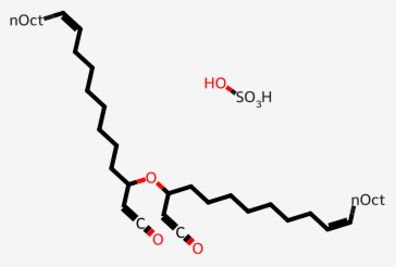 CCCCCCCC/C=C\CCCCCCCC(C=C=O)OC(C=C=O)CCCCCCC/C=C\CCCCCCCC.O=S(=O)(O)O